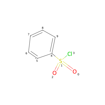 O=S(=O)(Cl)c1[c]cccc1